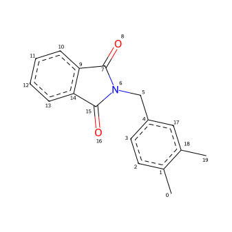 Cc1ccc(CN2C(=O)c3ccccc3C2=O)cc1C